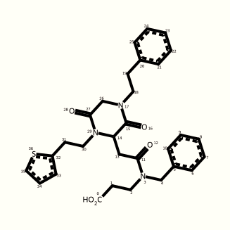 O=C(O)CCN(Cc1ccccc1)C(=O)CC1C(=O)N(CCc2ccccc2)CC(=O)N1CCc1cccs1